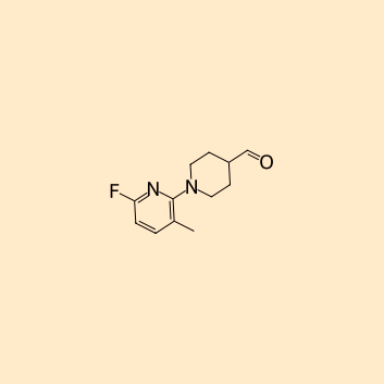 Cc1ccc(F)nc1N1CCC(C=O)CC1